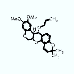 C=CCO[C@@H]1c2ccc3c(c2OC2COc4cc(OC)c(OC)cc4[C@@H]21)C=CC(C)(C)O3